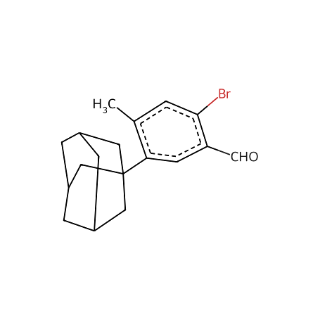 Cc1cc(Br)c(C=O)cc1C12CC3CC(CC(C3)C1)C2